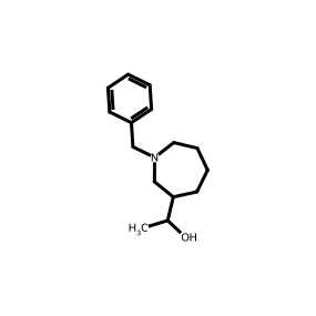 CC(O)C1CCCCN(Cc2ccccc2)C1